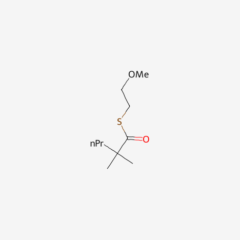 CCCC(C)(C)C(=O)SCCOC